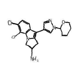 NC1Cc2c(-c3cnn(C4CCCCO4)c3)c3ccc(Cl)c(Cl)c3n2C1